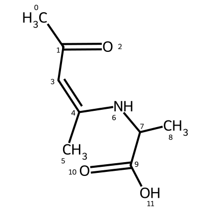 CC(=O)C=C(C)NC(C)C(=O)O